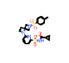 Cc1ccc(S(=O)(=O)N2CC3(CCN3c3cccc(S(=O)(=O)NC(=O)C4CC4)n3)C2)cc1